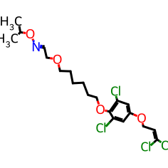 CC(C)ON=CCOCCCCCCOc1c(Cl)cc(OCC=C(Cl)Cl)cc1Cl